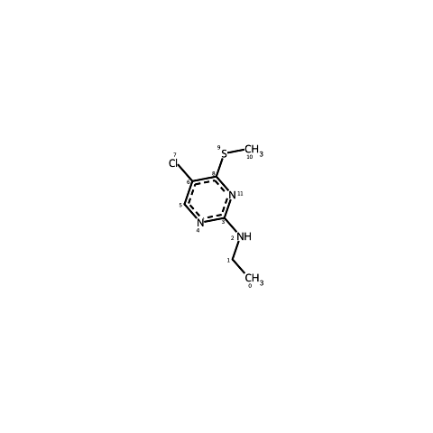 CCNc1ncc(Cl)c(SC)n1